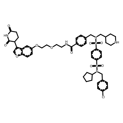 O=C1CCC(c2coc3ccc(OCCOCCNC(=O)c4ccc(CN(CC5CCNCC5)S(=O)(=O)c5ccc(S(=O)(=O)N(Cc6ccc(Cl)cc6)C6CCCC6)cc5)cc4)cc23)C(=O)N1